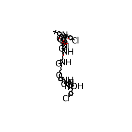 CCOc1cc(C(C)(C)C)ccc1C1=N[C@@](C)(c2ccc(Cl)cc2)[C@@](C)(c2ccc(Cl)cc2)N1C(=O)N1CCN(CC(=O)NCCCCCNC(=O)CCCCCOc2cccc(NC(=O)c3cnn4c(O)c(Cc5ccc(Cl)cc5)c(C)nc34)c2)CC1